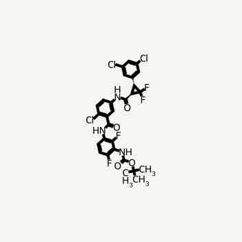 CC(C)(C)OC(=O)Nc1c(F)ccc(NC(=O)c2cc(NC(=O)[C@H]3[C@H](c4cc(Cl)cc(Cl)c4)C3(F)F)ccc2Cl)c1F